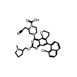 CN1CCCC1COc1nc(N2CCN(C(=O)O)C(CC#N)C2)c2c3c(c(-c4cccc5cccc(Cl)c45)cc2n1)CCCO3